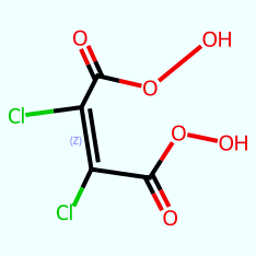 O=C(OO)/C(Cl)=C(/Cl)C(=O)OO